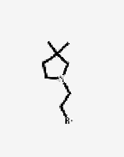 CC1(C)CCN(CCBr)C1